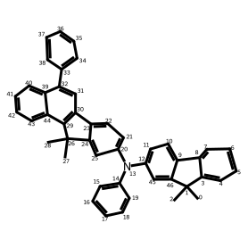 CC1(C)c2ccccc2-c2ccc(N(c3ccccc3)c3ccc4c(c3)C(C)(C)c3c-4cc(-c4ccccc4)c4ccccc34)cc21